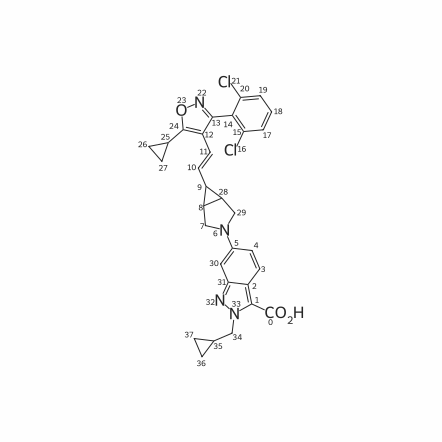 O=C(O)c1c2ccc(N3CC4C(C=Cc5c(-c6c(Cl)cccc6Cl)noc5C5CC5)C4C3)cc2nn1CC1CC1